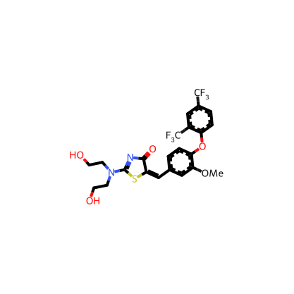 COc1cc(C=C2SC(N(CCO)CCO)=NC2=O)ccc1Oc1ccc(C(F)(F)F)cc1C(F)(F)F